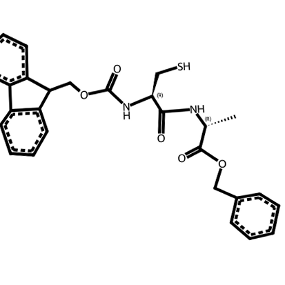 C[C@@H](NC(=O)[C@H](CS)NC(=O)OCC1c2ccccc2-c2ccccc21)C(=O)OCc1ccccc1